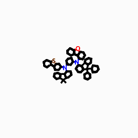 CC1(C)c2ccccc2-c2c(N(c3cccc(N(c4cccc5c4-c4ccccc4C5(c4ccccc4)c4ccccc4)c4cccc5oc6ccccc6c45)c3)c3ccc4c(c3)sc3ccccc34)cccc21